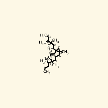 CCCC(C)C(C)(C)CCCC1(C)CC1(CCC)CCC(C)(C)C(C)CC